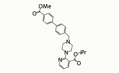 COC(=O)c1ccc(-c2ccc(CN3CCN(c4ncccc4C(=O)OC(C)C)CC3)cc2)cc1